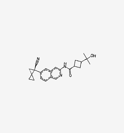 CC(C)(O)C1CC(C(=O)Nc2cc3cc([C@@]4(C#N)CC45CC5)ccc3cn2)C1